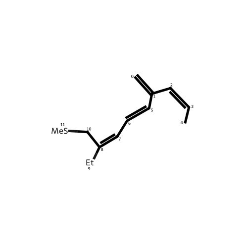 C=C(/C=C\C)/C=C/C=C(/CC)CSC